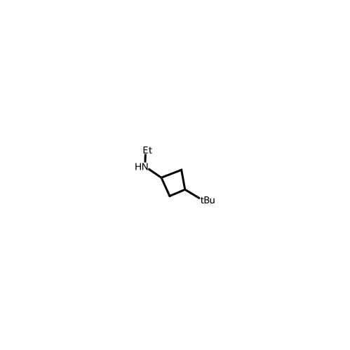 CCNC1CC(C(C)(C)C)C1